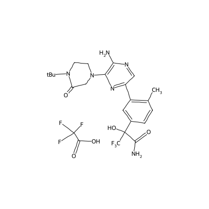 Cc1ccc(C(O)(C(N)=O)C(F)(F)F)cc1-c1cnc(N)c(N2CCN(C(C)(C)C)C(=O)C2)n1.O=C(O)C(F)(F)F